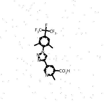 Cc1cc(C(F)(C(F)(F)F)C(F)(F)F)cc(C)c1-n1cc(-c2cnc(C)c(C(=O)O)c2)nn1